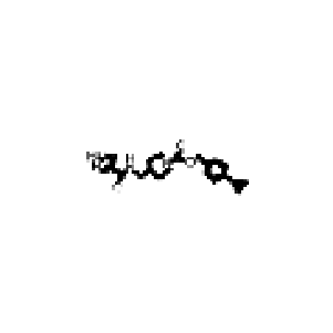 O=C(NCC1CCN(C(=O)OCc2ccc(C3CC3)cc2)CC1)c1cn[nH]c1